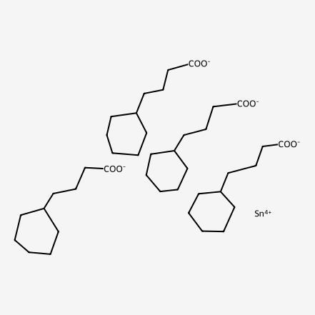 O=C([O-])CCCC1CCCCC1.O=C([O-])CCCC1CCCCC1.O=C([O-])CCCC1CCCCC1.O=C([O-])CCCC1CCCCC1.[Sn+4]